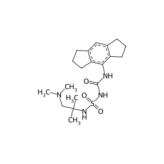 CN(C)CC(C)(C)NS(=O)(=O)NC(=O)Nc1c2c(cc3c1CCC3)CCC2